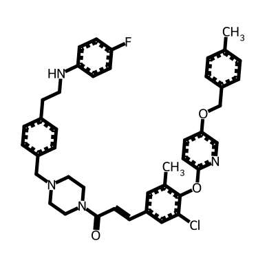 Cc1ccc(COc2ccc(Oc3c(C)cc(C=CC(=O)N4CCN(Cc5ccc(CCNc6ccc(F)cc6)cc5)CC4)cc3Cl)nc2)cc1